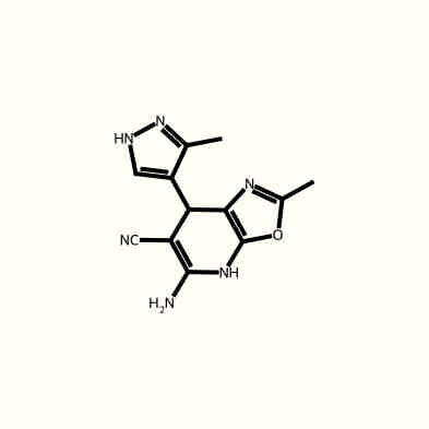 Cc1nc2c(o1)NC(N)=C(C#N)C2c1c[nH]nc1C